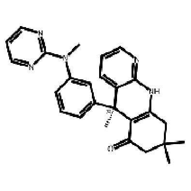 CN(c1cccc([C@]2(C)C3=C(CC(C)(C)CC3=O)Nc3ncccc32)c1)c1ncccn1